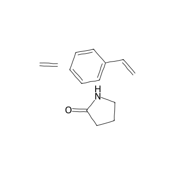 C=C.C=Cc1ccccc1.O=C1CCCN1